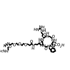 CC(=O)NCCOC(COCCOCCOCCC(=O)NCCCC[C@@H]1NC(=O)N(Cc2ccccc2)NC(=O)[C@H](CC(=O)O)NC(=O)CNC(=O)[C@H](CCCNC(=N)N)NC1=O)N=[N+]=[N-]